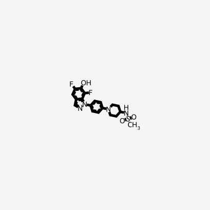 CS(=O)(=O)NC1CCN(c2ccc(-n3ncc4cc(F)c(O)c(F)c43)cc2)CC1